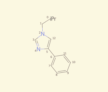 CC(C)Cn1cnc(-c2ccccc2)c1